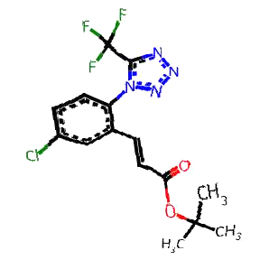 CC(C)(C)OC(=O)C=Cc1cc(Cl)ccc1-n1nnnc1C(F)(F)F